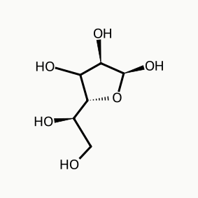 OC[C@@H](O)[C@H]1O[C@H](O)[C@H](O)C1O